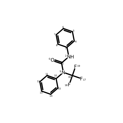 O=C(Nc1ccccc1)N(c1ccccc1)C(F)(F)F